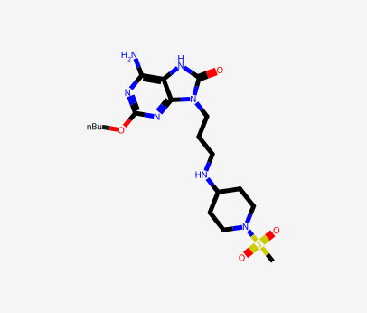 CCCCOc1nc(N)c2[nH]c(=O)n(CCCNC3CCN(S(C)(=O)=O)CC3)c2n1